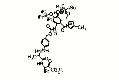 COc1cc(C(=O)N2C=C(C)C[C@H]2CO[Si](C)(C)C(C)(C)C)c(NC(=O)OCc2ccc(NNC(C)C(=O)NC(C(=O)C(=O)O)C(C)C)cc2)cc1O[Si](C(C)C)(C(C)C)C(C)C